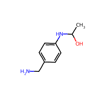 CC(O)Nc1ccc(CN)cc1